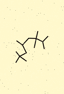 [CH2]C(C)C(C)(C)CC(C)CC(C)(C)C